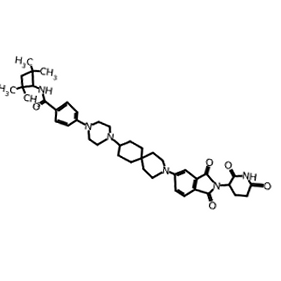 CC1(C)CC(C)(C)C1NC(=O)c1ccc(N2CCN(C3CCC4(CC3)CCN(c3ccc5c(c3)C(=O)N(C3CCC(=O)NC3=O)C5=O)CC4)CC2)cc1